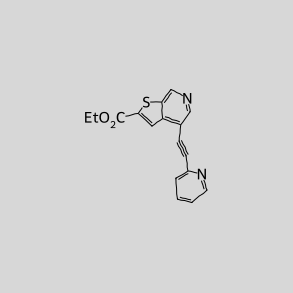 CCOC(=O)c1cc2c(C#Cc3ccccn3)cncc2s1